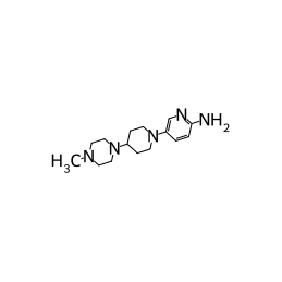 CN1CCN(C2CCN(c3ccc(N)nc3)CC2)CC1